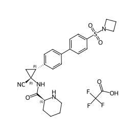 N#C[C@@]1(NC(=O)[C@@H]2CCCCN2)C[C@@H]1c1ccc(-c2ccc(S(=O)(=O)N3CCC3)cc2)cc1.O=C(O)C(F)(F)F